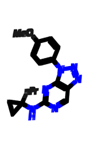 CCCC1(Nc2ncc3nnn(-c4ccc(OC)cc4)c3n2)CC1